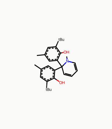 Cc1cc(C(C)(C)C)c(O)c(C2(c3cc(C)cc(C(C)(C)C)c3O)C=CC=CN2C)c1